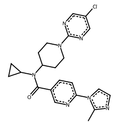 Cc1nccn1-c1ccc(C(=O)N(C2CC2)C2CCN(c3ncc(Cl)cn3)CC2)cn1